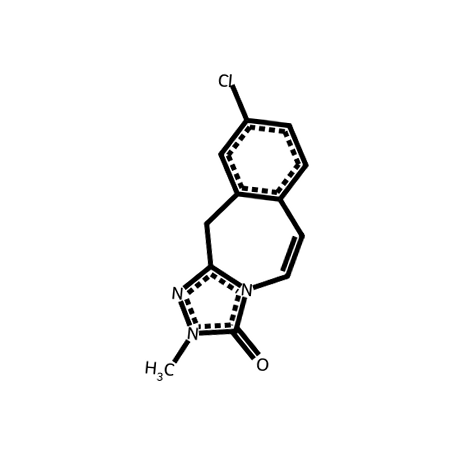 Cn1nc2n(c1=O)C=Cc1ccc(Cl)cc1C2